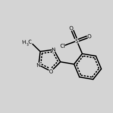 Cc1noc(-c2ccccc2S(=O)(=O)Cl)n1